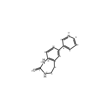 O=C1NCCc2cc(-c3cccnc3)ccc2N1